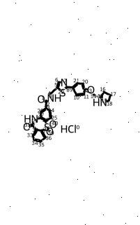 Cl.O=C(NCc1cnc(-c2ccc(OC[C@@H]3CCCN3)cc2)s1)c1ccc2c(c1)NC(=O)c1ccccc1S2(=O)=O